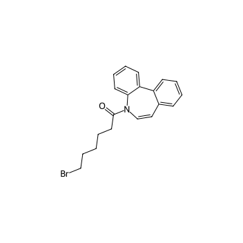 O=C(CCCCCBr)N1C=Cc2ccccc2-c2ccccc21